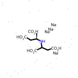 O=C(O)CC(N[C@@H](CC(=O)O)C(=O)O)C(=O)O.[Na].[Na].[Na].[Na]